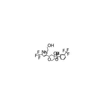 CC1(S(=O)(=O)c2cccc(C(F)(F)F)c2)CCOC(c2cc(C(F)(F)F)nn2CCO)C1